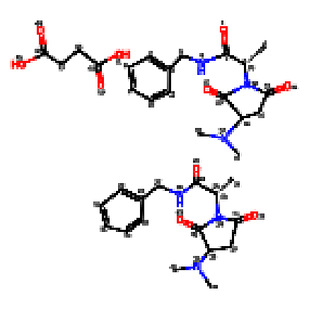 C[C@@H](C(=O)NCc1ccccc1)N1C(=O)CC(N(C)C)C1=O.C[C@@H](C(=O)NCc1ccccc1)N1C(=O)CC(N(C)C)C1=O.O=C(O)CCC(=O)O